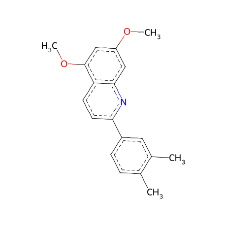 COc1cc(OC)c2ccc(-c3ccc(C)c(C)c3)nc2c1